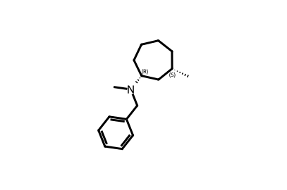 C[C@H]1CCCC[C@@H](N(C)Cc2ccccc2)C1